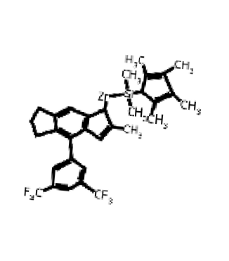 CC1=Cc2c(cc3c(c2-c2cc(C(F)(F)F)cc(C(F)(F)F)c2)CCC3)[CH]1[Zr][Si](C)(C)C1C(C)=C(C)C(C)=C1C